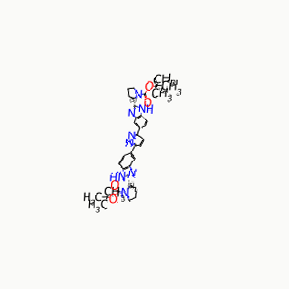 CC(C)(C)OC(=O)N1CCC[C@H]1c1nc2cc(-c3ccc(-c4ccc5[nH]c([C@@H]6CCCN6C(=O)OC(C)(C)C)nc5c4)nn3)ccc2[nH]1